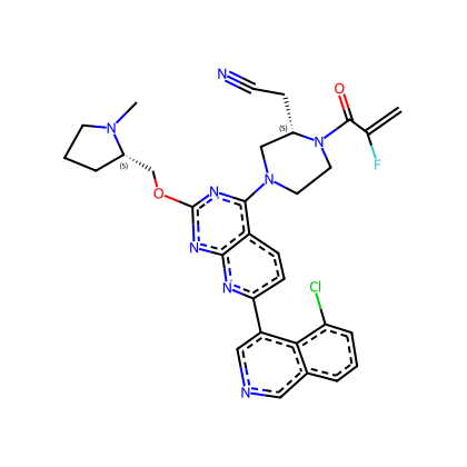 C=C(F)C(=O)N1CCN(c2nc(OC[C@@H]3CCCN3C)nc3nc(-c4cncc5cccc(Cl)c45)ccc23)C[C@@H]1CC#N